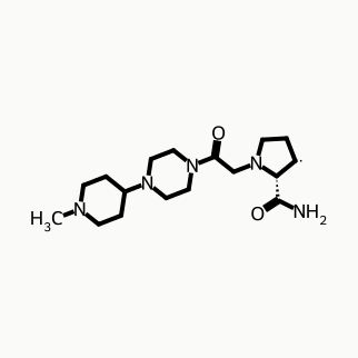 CN1CCC(N2CCN(C(=O)CN3CC[CH][C@@H]3C(N)=O)CC2)CC1